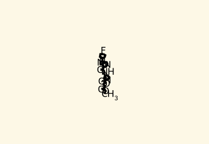 COC(=O)CCS(=O)(=O)c1cc(CNC(=O)c2cncc3c2cnn3-c2ccc(F)cc2)ccn1